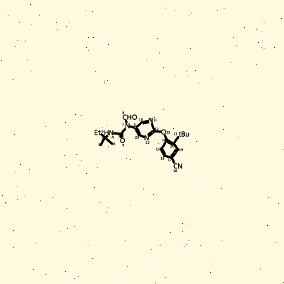 CCC(C)(C)NC(=O)N(C=O)c1cnc(Oc2ccc(C#N)cc2C(C)(C)C)nc1